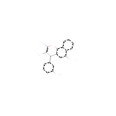 COc1cccc(C2C(C#N)=C(N)Oc3c2cc(C(=O)O)c2ccccc32)c1